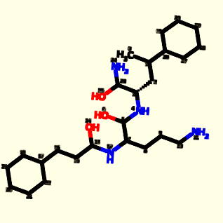 CC(C[C@H](NC(O)C(CCCN)NC(O)CCC1CCCCC1)C(N)O)C1CCCCC1